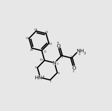 NC(=O)C(=O)N1CCNCC1c1ccccc1